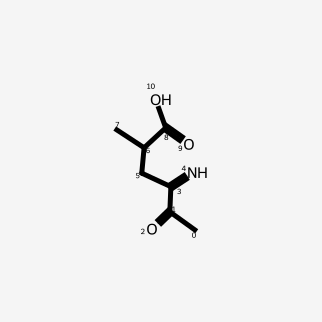 CC(=O)C(=N)CC(C)C(=O)O